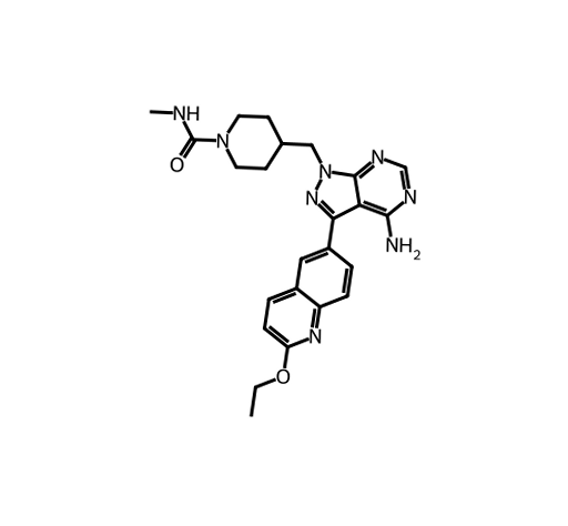 CCOc1ccc2cc(-c3nn(CC4CCN(C(=O)NC)CC4)c4ncnc(N)c34)ccc2n1